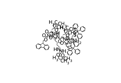 CC(C)(C)OC(=O)C[C@H](NC(=O)[C@H](CCCCNNC(=O)OC(C)(C)C)NC(=O)[C@H](CC(=O)OC(C)(C)C)NC(=O)[C@H](CSSC(c1ccccc1)(c1ccccc1)c1ccccc1)NC(=O)[C@@H](N)CSSC(c1ccccc1)(c1ccccc1)c1ccccc1)C(=O)NC(=O)OCC1c2ccccc2-c2ccccc21